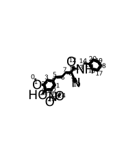 COc1cc(/C=C/C=C(\C#N)C(=O)NCc2ccccc2)cc([N+](=O)[O-])c1O